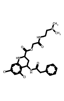 CN(C)CCNC(=O)COC(=O)C1CC(NC(=O)Cc2ccccc2)c2c(Cl)cc(Cl)cc2N1